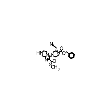 COC(=O)c1nc2n(c1N1CCN(C(=O)OCc3ccccc3)[C@@H](CC#N)C1)CCNC2